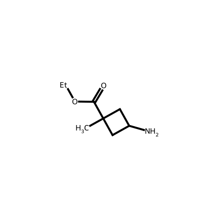 CCOC(=O)C1(C)CC(N)C1